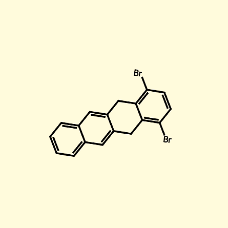 Brc1ccc(Br)c2c1Cc1cc3ccccc3cc1C2